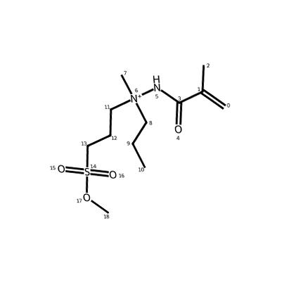 C=C(C)C(=O)N[N+](C)(CCC)CCCS(=O)(=O)OC